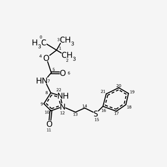 CC(C)(C)OC(=O)Nc1cc(=O)n(CCSc2ccccc2)[nH]1